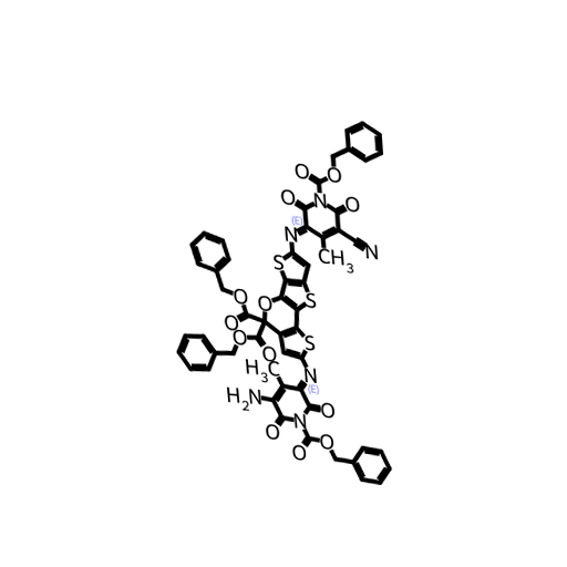 CC1=C(N)C(=O)N(C(=O)OCc2ccccc2)C(=O)/C1=N/c1cc2c(s1)-c1sc3cc(/N=C4/C(=O)N(C(=O)OCc5ccccc5)C(=O)C(C#N)=C4C)sc3c1OC2(C(=O)OCc1ccccc1)C(=O)OCc1ccccc1